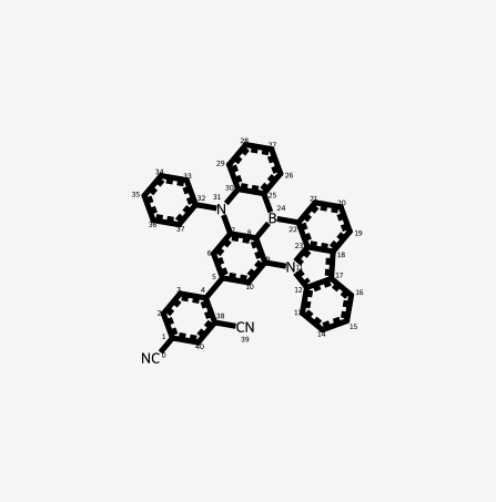 N#Cc1ccc(-c2cc3c4c(c2)-n2c5ccccc5c5cccc(c52)B4c2ccccc2N3c2ccccc2)c(C#N)c1